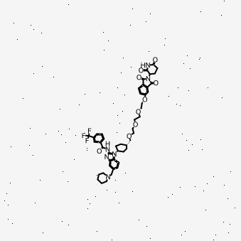 O=C1CCC(N2C(=O)c3ccc(OCCOCCOCCOC[C@H]4CC[C@@H](n5c(NC(=O)c6cccc(C(F)(F)F)c6)nc6cc(CN7CCCCC7)ccc65)CC4)cc3C2=O)C(=O)N1